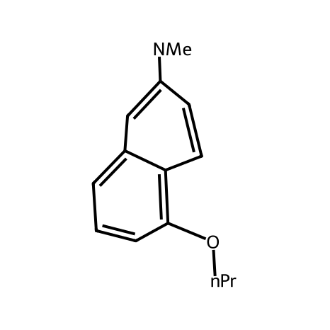 CCCOc1cccc2cc(NC)ccc12